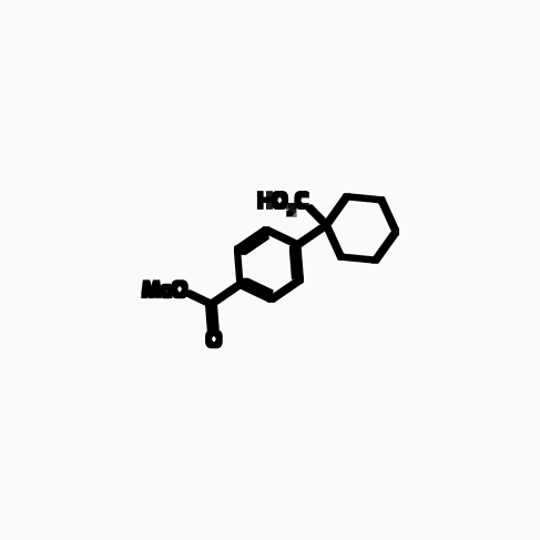 COC(=O)c1ccc(C2(C(=O)O)CCCCC2)cc1